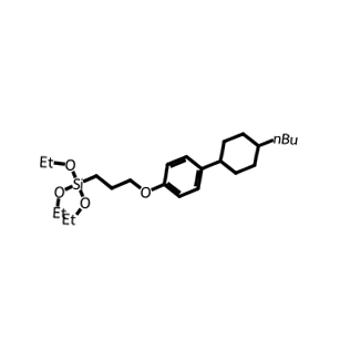 CCCCC1CCC(c2ccc(OCCC[Si](OCC)(OCC)OCC)cc2)CC1